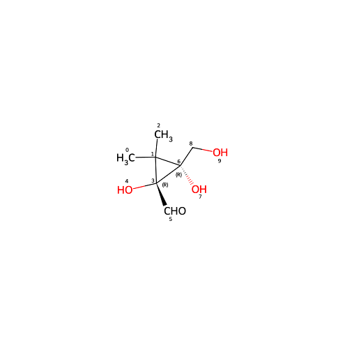 CC1(C)[C@](O)(C=O)[C@]1(O)CO